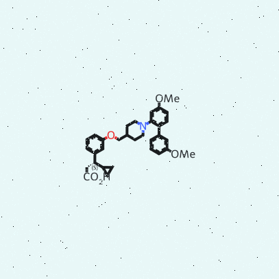 COc1cccc(-c2ccc(OC)cc2N2CCC(COc3cccc([C@@H](CC(=O)O)C4CC4)c3)CC2)c1